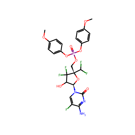 COc1ccc(OP(=O)(OC[C@@]2(C(F)F)O[C@@H](n3cc(F)c(N)nc3=O)C(O)C2(F)F)Oc2ccc(OC)cc2)cc1